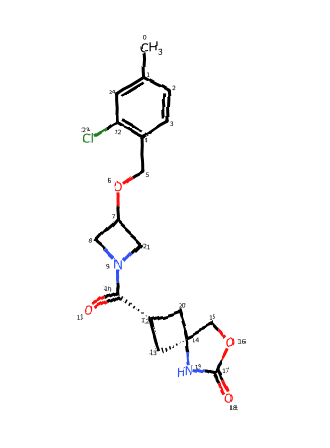 Cc1ccc(COC2CN(C(=O)[C@H]3C[C@@]4(COC(=O)N4)C3)C2)c(Cl)c1